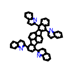 c1ccc2nc(-c3ccc(-c4ccc5ccccc5n4)c4c3-c3ccc5c6c(ccc-4c36)-c3c-5c(-c4ccc5ccccc5n4)c4ccccc4c3-c3ccc4ccccc4n3)ccc2c1